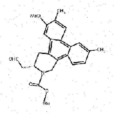 COc1cc2c3c(c4ccc(C)cc4c2cc1C)CN(C(=O)OC(C)(C)C)[C@H](CC=O)C3